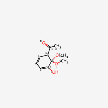 COC1(OC)C(O)=CC=CC1C(C)=O